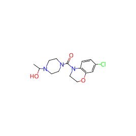 CC(O)N1CCN(C(=O)N2CCOc3cc(Cl)ccc32)CC1